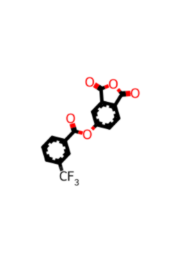 O=C(Oc1ccc2c(c1)C(=O)OC2=O)c1cccc(C(F)(F)F)c1